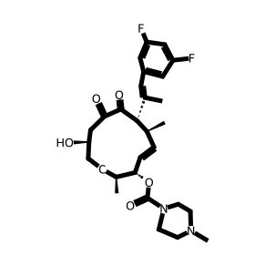 C/C(=C\c1cc(F)cc(F)c1)[C@H]1C(=O)C(=O)C[C@H](O)CC[C@H](C)[C@@H](OC(=O)N2CCN(C)CC2)/C=C/[C@@H]1C